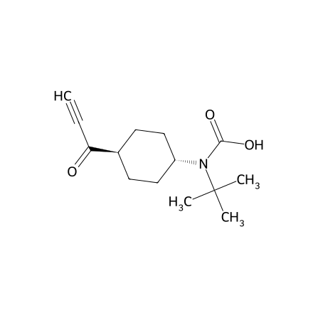 C#CC(=O)[C@H]1CC[C@H](N(C(=O)O)C(C)(C)C)CC1